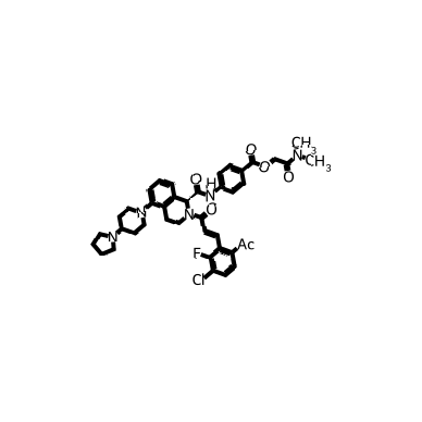 CC(=O)c1ccc(Cl)c(F)c1/C=C/C(=O)N1CCc2c(cccc2N2CCC(N3CCCC3)CC2)[C@H]1C(=O)Nc1ccc(C(=O)OCC(=O)N(C)C)cc1